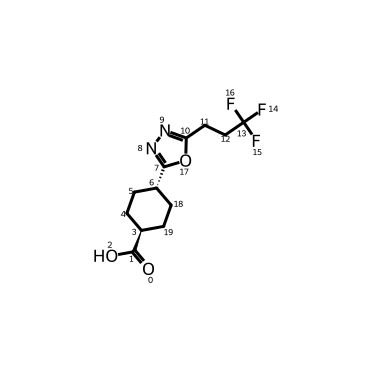 O=C(O)[C@H]1CC[C@H](c2nnc(CCC(F)(F)F)o2)CC1